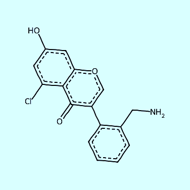 NCc1ccccc1-c1coc2cc(O)cc(Cl)c2c1=O